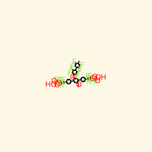 COc1cc(-c2ccc(C(F)(F)C(F)(F)OC(F)(F)S(=O)(=O)O)cc2)c(Oc2c(F)c(F)c(-c3c(F)c(F)c(C)c(F)c3F)c(F)c2F)cc1-c1ccc(C(F)(F)C(F)(F)OC(F)(F)S(=O)(=O)O)cc1